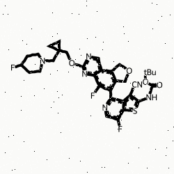 CC(C)(C)OC(=O)Nc1sc2c(F)cnc(-c3c4c(c5cnc(OCC6(CN7CCC(F)CC7)CC6)nc5c3F)COC4)c2c1C#N